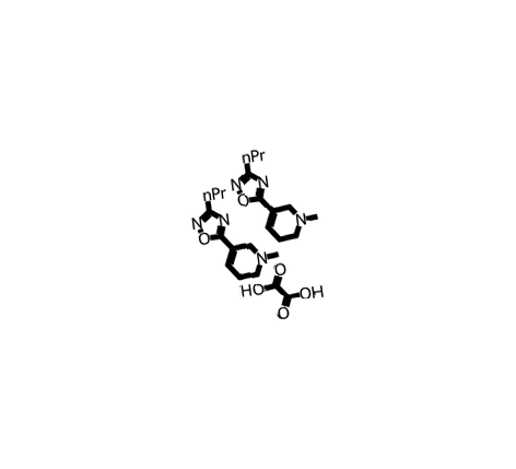 CCCc1noc(C2=CCCN(C)C2)n1.CCCc1noc(C2=CCCN(C)C2)n1.O=C(O)C(=O)O